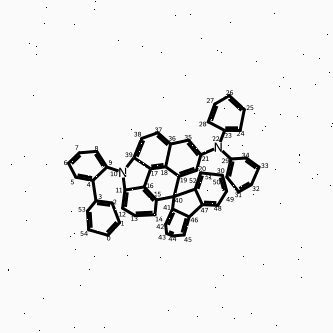 c1ccc(-c2ccccc2-n2c3cccc4c3c3c5c(cc(N(c6ccccc6)c6ccccc6)cc5ccc32)C42c3ccccc3-c3ccccc32)cc1